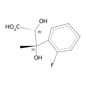 C[C@](O)(c1ccccc1F)[C@@H](O)C(=O)O